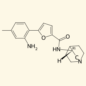 Cc1ccc(-c2ccc(C(=O)N[C@H]3CN4CCC3CC4)o2)c(N)c1